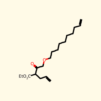 C=CCCCCCCCCOCC(=O)C(CC=C)C(=O)OCC